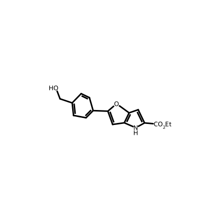 CCOC(=O)c1cc2oc(-c3ccc(CO)cc3)cc2[nH]1